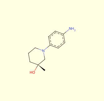 C[C@@]1(O)CCCN(c2ccc(N)cc2)C1